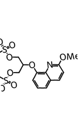 COc1ccc2cccc(OC(COS(C)(=O)=O)COS(C)(=O)=O)c2n1